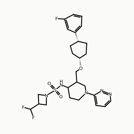 O=S(=O)(NC1CCN(c2cccnn2)CC1CO[C@H]1CC[C@@H](c2cccc(F)c2)CC1)N1CC(C(F)F)C1